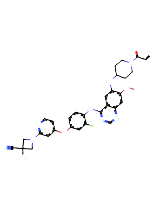 C=CC(=O)N1CCC(Nc2cc3c(Nc4ccc(Oc5ccnc(N6CC(C)(C#N)C6)c5)cc4F)ncnc3cc2OC)CC1